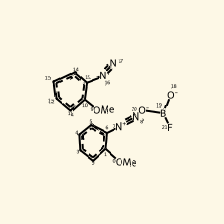 COc1ccccc1[N+]#N.COc1ccccc1[N+]#N.[O-]B([O-])F